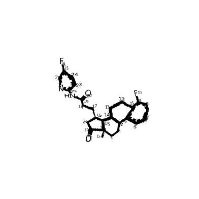 C[C@]12CCC3c4cccc(F)c4CCC3C1[C@H](CCC(=O)Nc1ccc(F)cn1)CC2=O